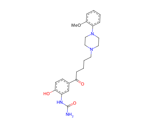 COc1ccccc1N1CCN(CCCCC(=O)c2ccc(O)c(NC(N)=O)c2)CC1